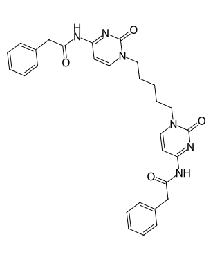 O=C(Cc1ccccc1)Nc1ccn(CCCCCn2ccc(NC(=O)Cc3ccccc3)nc2=O)c(=O)n1